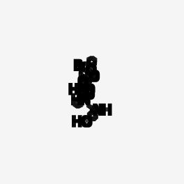 O=C(N[C@@H](Cc1ccccc1)C(=O)NCCc1c[nH]c2ccc(O)cc12)c1cc(=O)c2c(Oc3ccccc3Br)cccc2o1